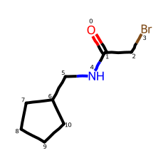 O=C(CBr)NCC1CCCC1